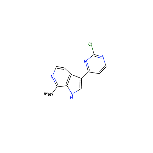 COc1nccc2c(-c3ccnc(Cl)n3)c[nH]c12